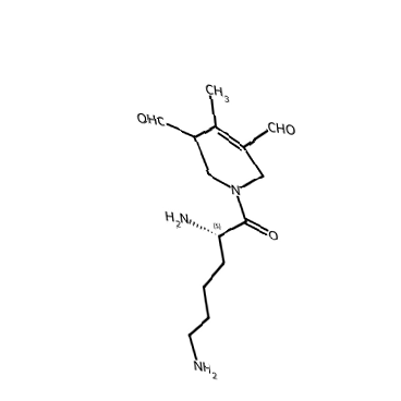 CC1=C(C=O)CN(C(=O)[C@@H](N)CCCCN)CC1C=O